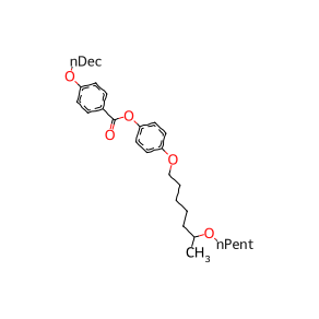 CCCCCCCCCCOc1ccc(C(=O)Oc2ccc(OCCCCCC(C)OCCCCC)cc2)cc1